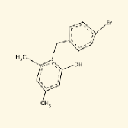 Cc1cc(C)c(Cc2ccc(Br)cc2)c(O)c1